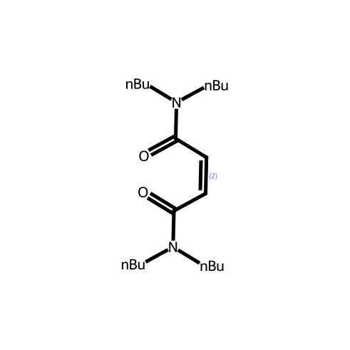 CCCCN(CCCC)C(=O)/C=C\C(=O)N(CCCC)CCCC